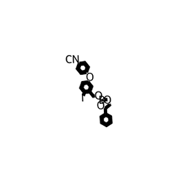 [C-]#[N+]c1ccc(Oc2ccc(I)c(COB3OCC(c4ccccc4)O3)c2)cc1